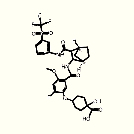 COc1cc(F)c(OC2CCC(O)(C(=O)O)CC2)cc1C(=O)NC1C(C(=O)Nc2cccc(S(=O)(=O)C(F)(F)F)c2)[C@@H]2CC[C@@H]1C2